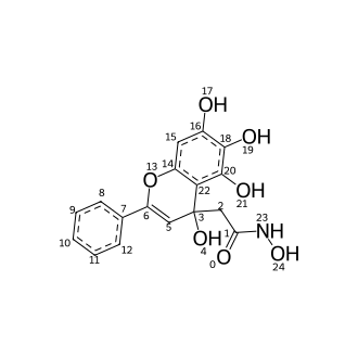 O=C(CC1(O)C=C(c2ccccc2)Oc2cc(O)c(O)c(O)c21)NO